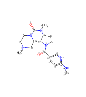 CN1CCN(C(=O)N(C)C2CCN(C(=O)c3ccc(NC(C)(C)C)nc3)C2)CC1